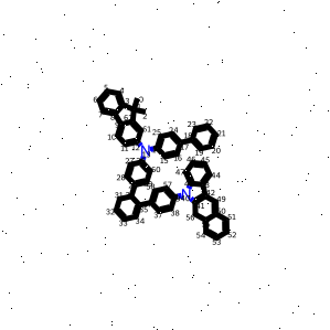 CC1(C)c2ccccc2-c2ccc(N(c3ccc(-c4ccccc4)cc3)c3ccc(C4CC=CC=C4c4ccc(-n5c6c(c7ccccc75)C=C5C=CC=CC5C6)cc4)cc3)cc21